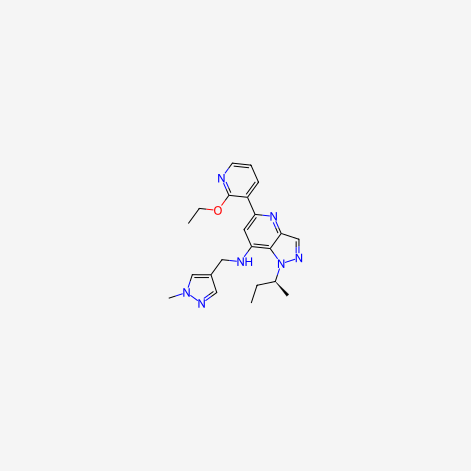 CCOc1ncccc1-c1cc(NCc2cnn(C)c2)c2c(cnn2[C@@H](C)CC)n1